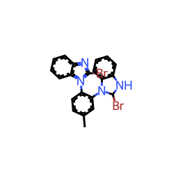 Cc1ccc(-n2c(Br)nc3ccccc32)c(N2c3ccccc3NC2Br)c1